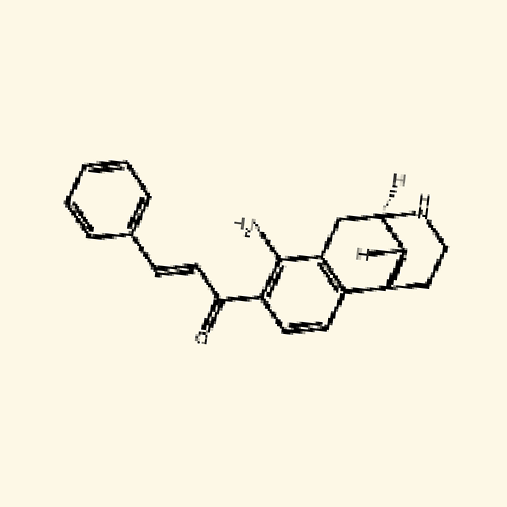 Nc1c(C(=O)C=Cc2ccccc2)ccc2c1C[C@H]1NCC[C@@]23CCCC[C@@H]13